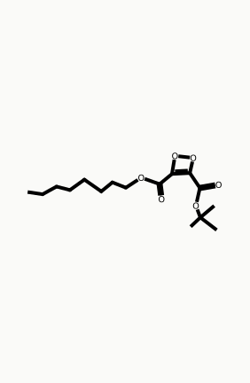 CCCCCCCCOC(=O)c1ooc1C(=O)OC(C)(C)C